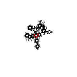 CC(C)(C)c1cc(-c2ccc(N(c3ccc(-c4ccccc4)cc3)c3ccc4c(c3)C(C)(C)c3ccccc3-4)cc2)c2c(c1)C(C)(C)c1cc(C(C)(C)C)cc(-c3nc(-c4ccccc4)nc(-c4ccccc4)n3)c1O2